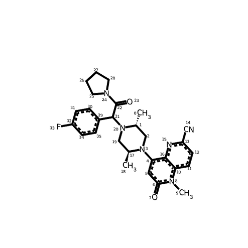 C[C@@H]1CN(c2cc(=O)n(C)c3ccc(C#N)nc23)[C@@H](C)CN1C(C(=O)N1CCCC1)c1ccc(F)cc1